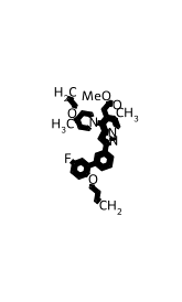 C=CCCOc1ccc(F)cc1-c1cccc(-c2cc3c(N4CCC(C)(OCC=C)CC4)c(CC(=O)OC)c(C)cn3n2)c1